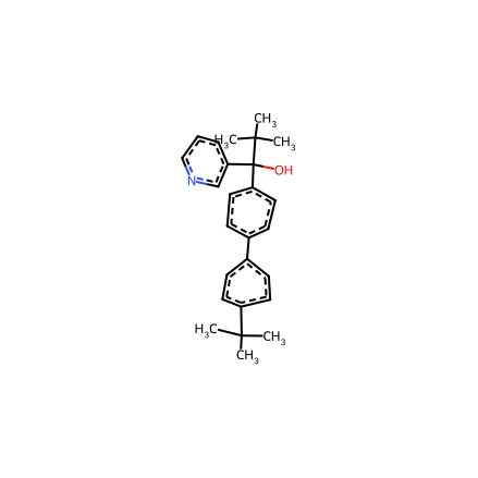 CC(C)(C)c1ccc(-c2ccc(C(O)(c3cccnc3)C(C)(C)C)cc2)cc1